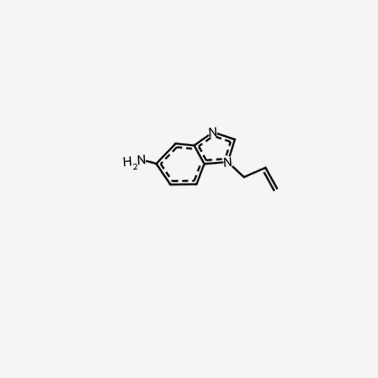 C=CCn1cnc2cc(N)ccc21